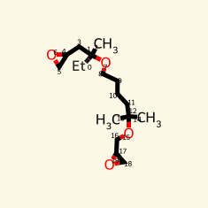 CCC(C)(CC1CO1)OCCCCC(C)(C)OCC1CO1